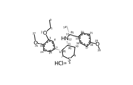 CCOc1cc([C@H]2CSCC[C@H]2N[C@H](C)c2ccc(OC)cc2)ccc1OC.Cl